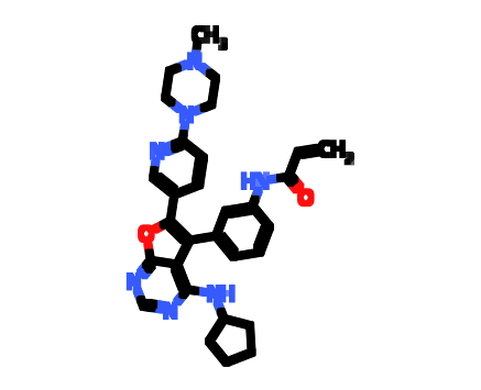 C=CC(=O)Nc1cccc(-c2c(-c3ccc(N4CCN(C)CC4)nc3)oc3ncnc(NC4CCCC4)c23)c1